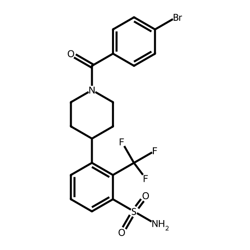 NS(=O)(=O)c1cccc(C2CCN(C(=O)c3ccc(Br)cc3)CC2)c1C(F)(F)F